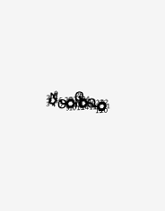 CN1CCC[C@H]1COc1ccc(-n2ccc(OCc3ccccc3)cc2=O)cc1